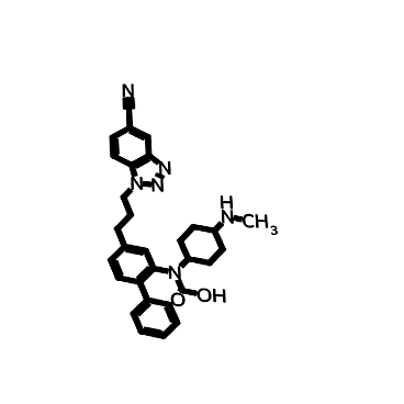 CNC1CCC(N(C(=O)O)c2cc(CCCn3nnc4cc(C#N)ccc43)ccc2-c2ccccc2)CC1